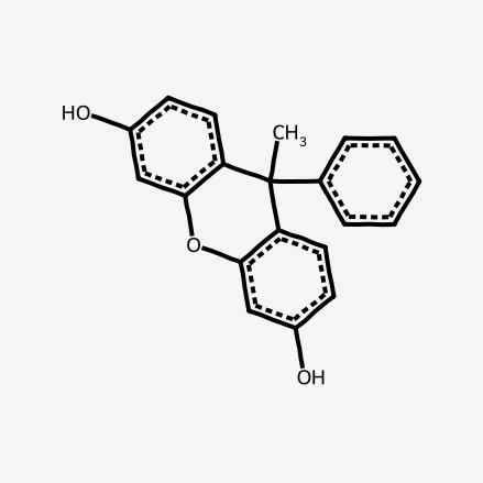 CC1(c2ccccc2)c2ccc(O)cc2Oc2cc(O)ccc21